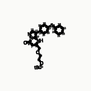 CC(C)(C)OCCOCc1cc(=O)n2ncc(-c3ccc(Sc4ccccc4)cc3)c2[nH]1